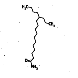 CCCCC(CCC)CCCCCCCCCCC(N)=O